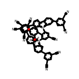 N#Cc1cc(C#N)cc(-c2ccc3c4ccc(-c5cc(C#N)cc(C#N)c5)cc4n(-c4cc(C#N)cc(-n5c6cc(-c7cc(C#N)cc(C#N)c7)ccc6c6ccc(-c7cc(C#N)cc(C#N)c7)cc65)c4-c4ccccc4C(F)(F)F)c3c2)c1